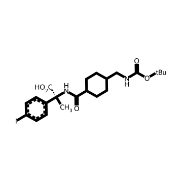 CC(C)(C)OC(=O)NCC1CCC(C(=O)N[C@](C)(C(=O)O)c2ccc(I)cc2)CC1